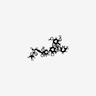 COc1ccc(CN(c2cccc(F)n2)S(=O)(=O)c2c(F)cc(N3CC[C@@](OC)(C(O)C#CCN(C)C(=O)OC(C)(C)C)C3)c(Cl)c2F)c(OC)c1